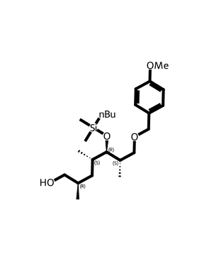 CCCC[Si](C)(C)O[C@@H]([C@@H](C)COCc1ccc(OC)cc1)[C@@H](C)C[C@@H](C)CO